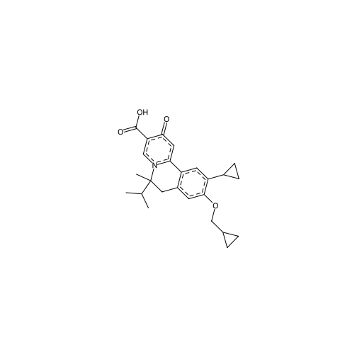 CC(C)C1(C)Cc2cc(OCC3CC3)c(C3CC3)cc2-c2cc(=O)c(C(=O)O)cn21